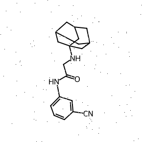 N#Cc1cccc(NC(=O)CNC23CC4CC(CC(C4)C2)C3)c1